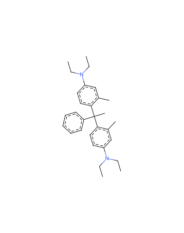 CCN(CC)c1ccc(C(C)(c2ccccc2)c2ccc(N(CC)CC)cc2C)c(C)c1